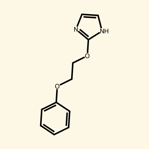 c1ccc(OCCOc2ncc[nH]2)cc1